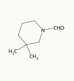 CC1(C)CCCN([C]=O)C1